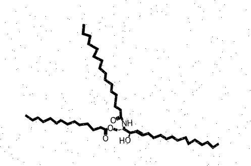 CCCCCCCCCCCCC/C=C/[C@@H](O)[C@H](COC(=O)CCCCCCCCCCCCC)NC(=O)CCCCCCCCCCCCCCC